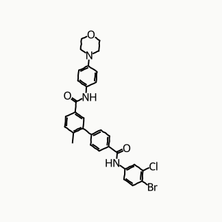 Cc1ccc(C(=O)Nc2ccc(N3CCOCC3)cc2)cc1-c1ccc(C(=O)Nc2ccc(Br)c(Cl)c2)cc1